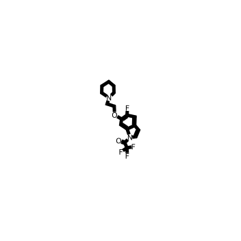 O=C(n1ccc2cc(F)c(OCCN3CCCCC3)cc21)C(F)(F)F